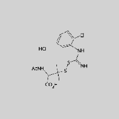 CC(=O)NC(C(=O)O)C(C)(C)SSC(=N)Nc1ccccc1Cl.Cl